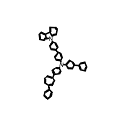 C1=CC(c2ccccc2)=CCC(c2ccc(N(c3ccc(-c4ccccc4)cc3)c3ccc(-c4ccc(-n5c6ccccc6c6ccccc65)cc4)cc3)cc2)=C1